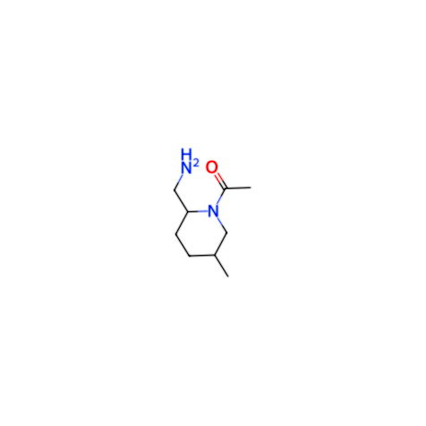 CC(=O)N1CC(C)CCC1CN